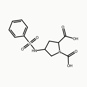 O=C(O)C1CC(NS(=O)(=O)c2ccccc2)CN1C(=O)O